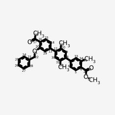 COC(=O)c1ccc(-c2cc(C)c(-c3ccc(C(C)=O)c(OCc4ccccc4)c3)cc2C)cc1C